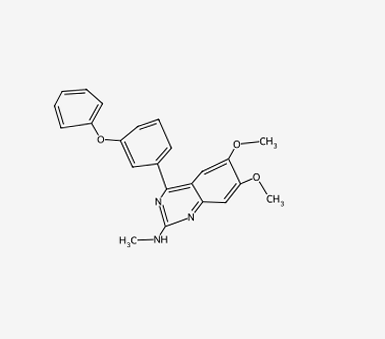 CNc1nc(-c2cccc(Oc3ccccc3)c2)c2cc(OC)c(OC)cc2n1